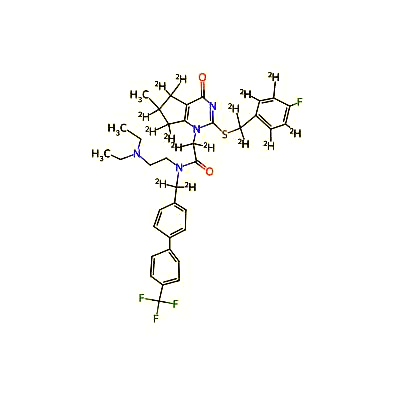 [2H]c1c([2H])c(C([2H])([2H])Sc2nc(=O)c3c(n2C([2H])([2H])C(=O)N(CCN(CC)CC)C([2H])([2H])c2ccc(-c4ccc(C(F)(F)F)cc4)cc2)C([2H])([2H])C([2H])(C)C3([2H])[2H])c([2H])c([2H])c1F